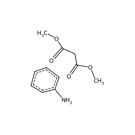 COC(=O)CC(=O)OC.Nc1ccccc1